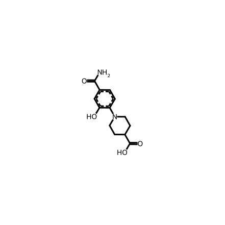 NC(=O)c1ccc(N2CCC(C(=O)O)CC2)c(O)c1